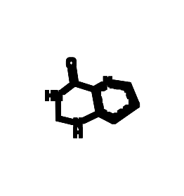 O=C1NCNc2cccnc21